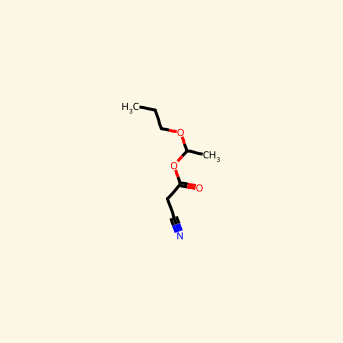 CCCOC(C)OC(=O)CC#N